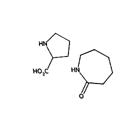 O=C(O)C1CCCN1.O=C1CCCCCN1